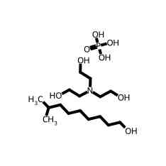 CC(C)CCCCCCCO.O=P(O)(O)O.OCCN(CCO)CCO